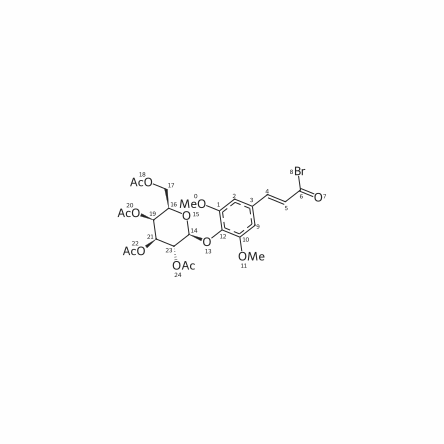 COc1cc(/C=C/C(=O)Br)cc(OC)c1O[C@@H]1O[C@H](COC(C)=O)[C@H](OC(C)=O)[C@H](OC(C)=O)[C@H]1OC(C)=O